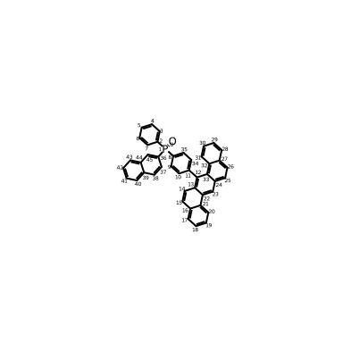 O=P(c1ccccc1)(c1ccc(-c2c3ccc4ccccc4c3cc3ccc4ccccc4c23)cc1)c1ccc2ccccc2c1